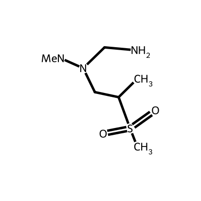 CNN(CN)CC(C)S(C)(=O)=O